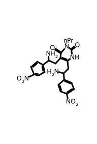 CCCn1c(=O)[nH]c(CC(N)c2ccc([N+](=O)[O-])cc2)c(CC(N)c2ccc([N+](=O)[O-])cc2)c1=O